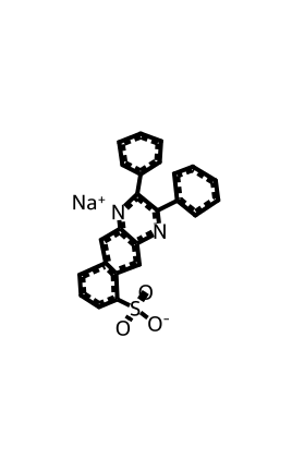 O=S(=O)([O-])c1cccc2cc3nc(-c4ccccc4)c(-c4ccccc4)nc3cc12.[Na+]